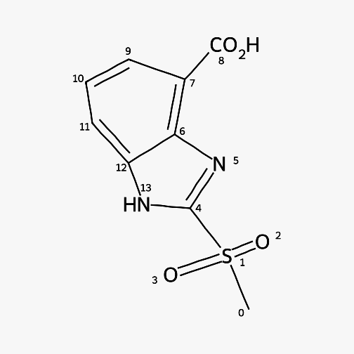 CS(=O)(=O)c1nc2c(C(=O)O)cccc2[nH]1